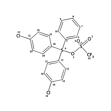 O=S(=O)(OS(c1ccccc1)(c1ccc(Cl)cc1)c1ccc(Cl)cc1)C(F)(F)F